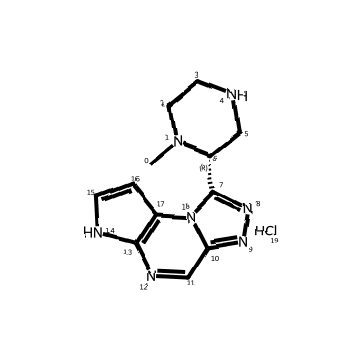 CN1CCNC[C@@H]1c1nnc2cnc3[nH]ccc3n12.Cl